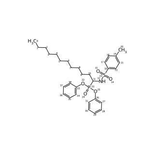 CCCCCCCCCCCC(NS(=O)(=O)c1ccc(C)cc1)P(=O)(Oc1ccccc1)Oc1ccccc1